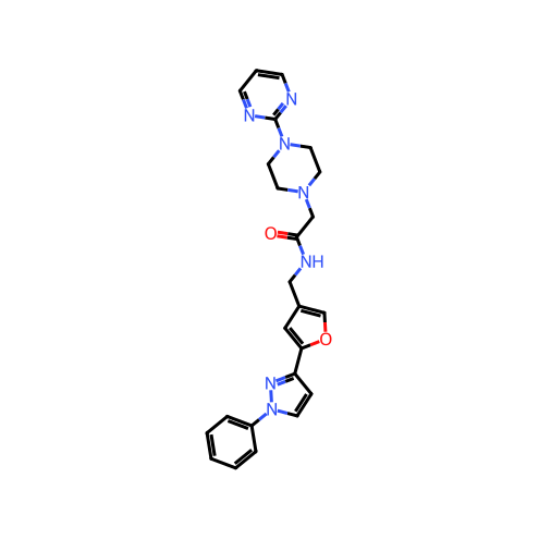 O=C(CN1CCN(c2ncccn2)CC1)NCc1coc(-c2ccn(-c3ccccc3)n2)c1